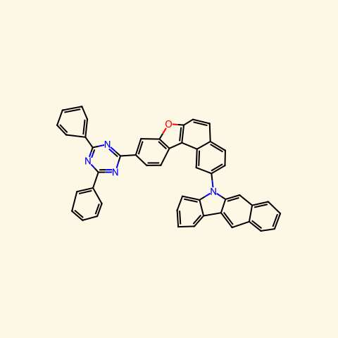 c1ccc(-c2nc(-c3ccccc3)nc(-c3ccc4c(c3)oc3ccc5ccc(-n6c7ccccc7c7cc8ccccc8cc76)cc5c34)n2)cc1